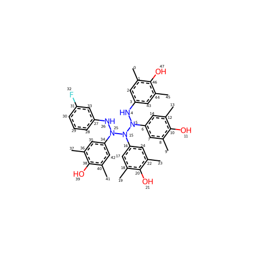 Cc1cc(NN(c2cc(C)c(O)c(C)c2)N(c2cc(C)c(O)c(C)c2)N(Nc2cccc(F)c2)c2cc(C)c(O)c(C)c2)cc(C)c1O